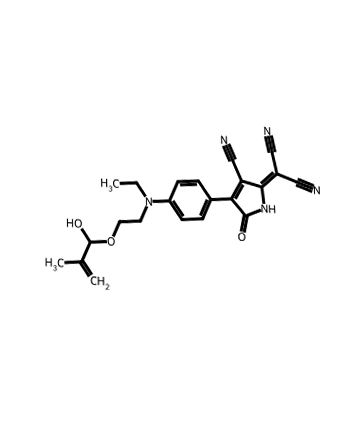 C=C(C)C(O)OCCN(CC)c1ccc(C2=C(C#N)C(=C(C#N)C#N)NC2=O)cc1